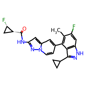 Cc1c(F)cc2[nH]nc(C3CC3)c2c1-c1ccn2nc(NC(=O)[C@@H]3C[C@@H]3F)cc2c1